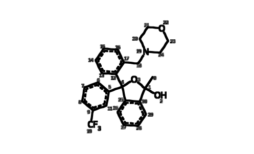 CC1(O)OC(c2cccc(C(F)(F)F)c2)(c2ccccc2CN2CCOCC2)c2ccccc21